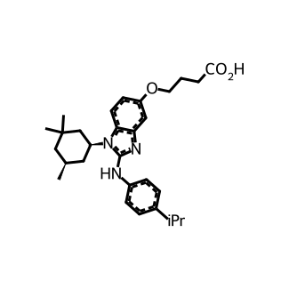 CC(C)c1ccc(Nc2nc3cc(OCCCC(=O)O)ccc3n2[C@H]2C[C@@H](C)CC(C)(C)C2)cc1